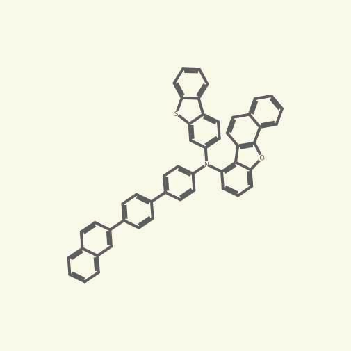 c1ccc2cc(-c3ccc(-c4ccc(N(c5ccc6c(c5)sc5ccccc56)c5cccc6oc7c8ccccc8ccc7c56)cc4)cc3)ccc2c1